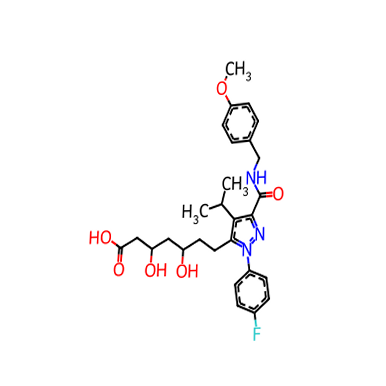 COc1ccc(CNC(=O)c2nn(-c3ccc(F)cc3)c(CCC(O)CC(O)CC(=O)O)c2C(C)C)cc1